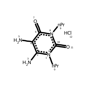 CCCn1c(N)c(N)c(=O)n(CCC)c1=O.Cl